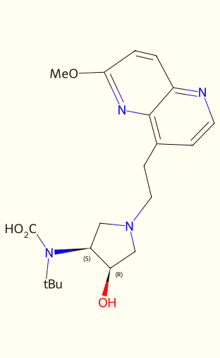 COc1ccc2nccc(CCN3C[C@@H](O)[C@@H](N(C(=O)O)C(C)(C)C)C3)c2n1